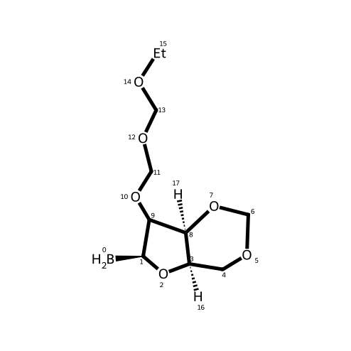 B[C@@H]1O[C@@H]2COCO[C@@H]2C1OCOCOCC